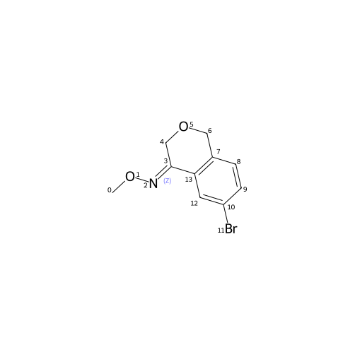 CO/N=C1\COCc2ccc(Br)cc21